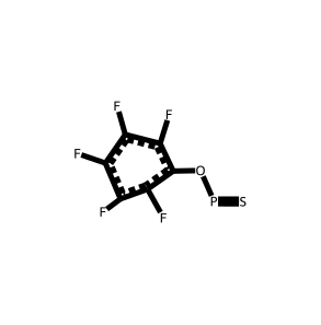 Fc1c(F)c(F)c(OP=S)c(F)c1F